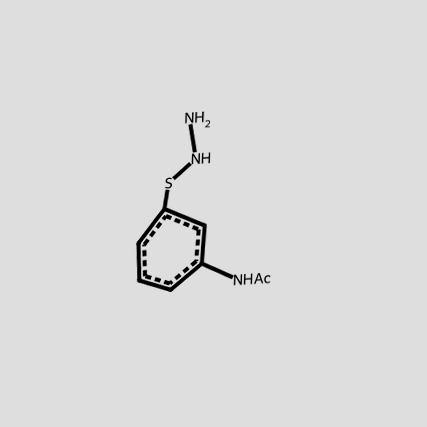 CC(=O)Nc1cccc(SNN)c1